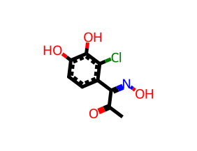 CC(=O)C(=NO)c1ccc(O)c(O)c1Cl